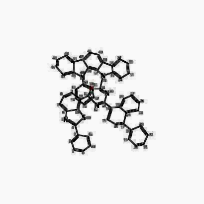 c1ccc(-c2nc3cccc(-c4nc(-c5ccc(-c6ccccc6)c6ccccc56)nc(-n5c6ccccc6c6ccc7c8ccccc8n(-c8ccccc8)c7c65)n4)c3s2)cc1